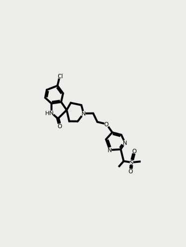 CC(c1ncc(OCCN2CCC3(CC2)C(=O)Nc2ccc(Cl)cc23)cn1)S(C)(=O)=O